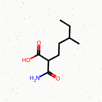 CCC(C)CCC(C(N)=O)C(=O)O